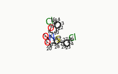 CC1(C)OC(=O)N(C(C=O)Cc2cccc(Cl)c2)c2sc(-c3cccc(Cl)c3)cc21